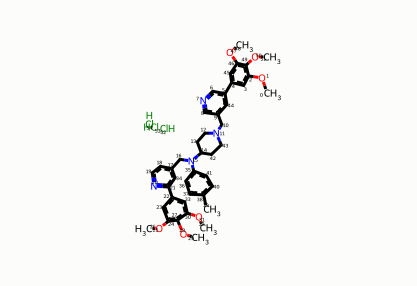 COc1cc(-c2cncc(CN3CCC(N(Cc4ccnc(-c5cc(OC)c(OC)c(OC)c5)c4)c4ccc(C)cc4)CC3)c2)cc(OC)c1OC.Cl.Cl.Cl